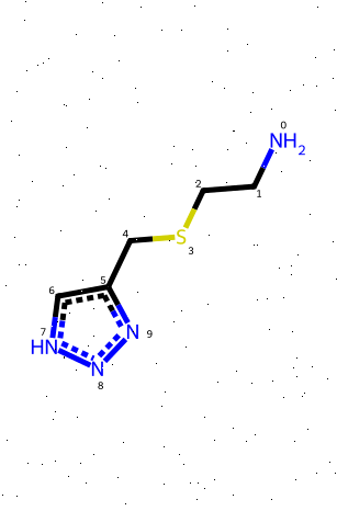 NCCSCc1c[nH]nn1